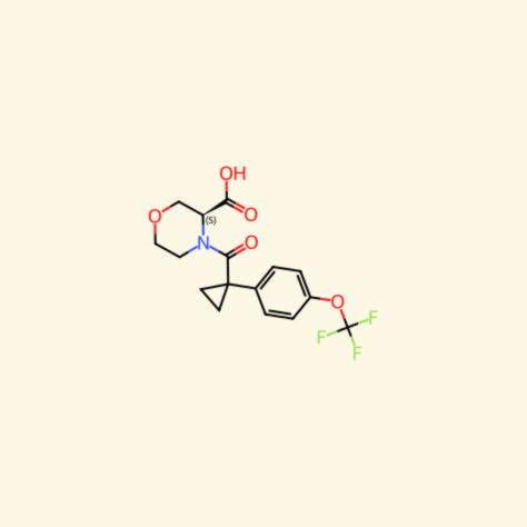 O=C(O)[C@@H]1COCCN1C(=O)C1(c2ccc(OC(F)(F)F)cc2)CC1